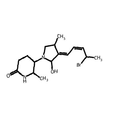 CC(Br)/C=C\C=C1/C(C)CN(C2CCC(=O)NC2C)C1O